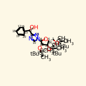 CC(C)(C)[Si](C)(C)OC[C@H]1O[C@@H](n2cnc(C(O)c3ccccc3)n2)[C@@H](O[Si](C)(C)C(C)(C)C)C1O[Si](C)(C)C(C)(C)C